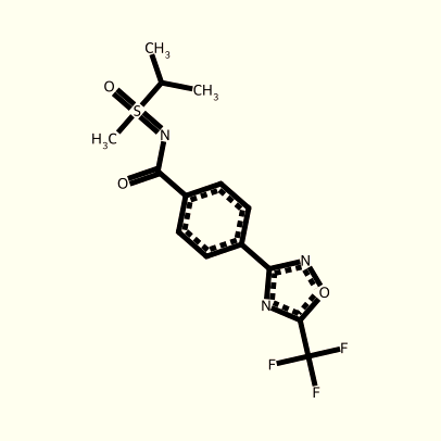 CC(C)S(C)(=O)=NC(=O)c1ccc(-c2noc(C(F)(F)F)n2)cc1